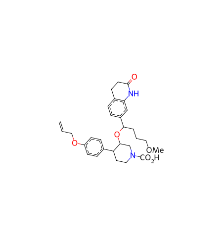 C=CCOc1ccc(C2CCN(C(=O)O)CC2OC(CCCOC)c2ccc3c(c2)NC(=O)CC3)cc1